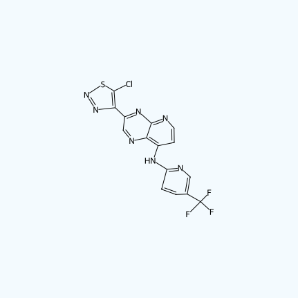 FC(F)(F)c1ccc(Nc2ccnc3nc(-c4nnsc4Cl)cnc23)nc1